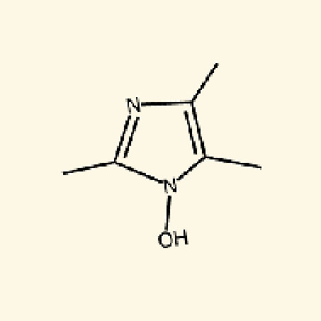 Cc1nc(C)n(O)c1C